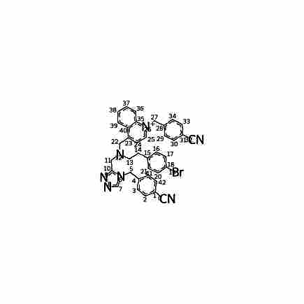 N#Cc1ccc(Cn2cnnc2CN(CCc2ccc(Br)cc2)Cc2cc[n+](Cc3ccc(C#N)cc3)c3ccccc23)cc1